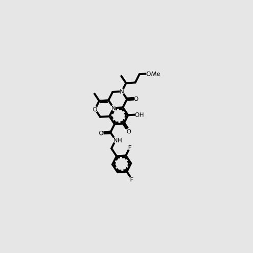 COCCC(C)N1CC2=C(C)OCc3c(C(=O)NCc4ccc(F)cc4F)c(=O)c(O)c(n32)C1=O